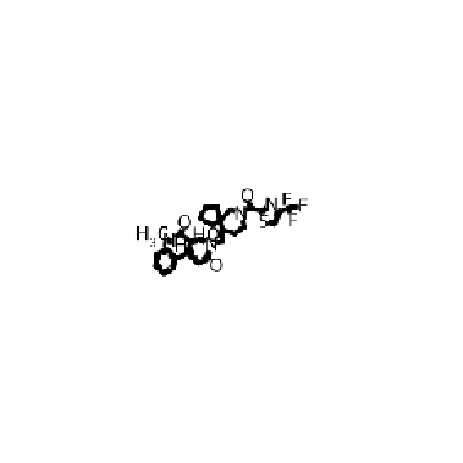 CN(C)C(=O)c1cn(CC2(O)CCN(C(=O)c3nc(C(F)(F)F)cs3)CC23CCCC3)c(=O)cc1-c1ccccc1